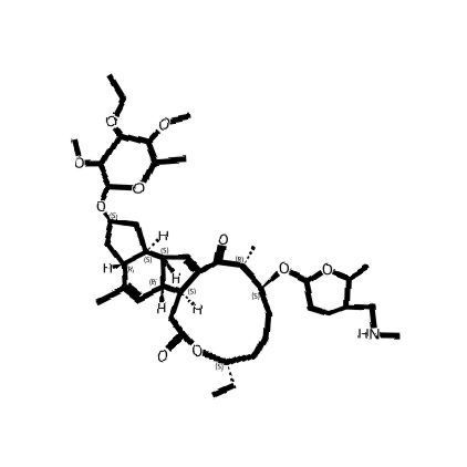 CCOC1C(OC)C(C)OC(O[C@H]2C[C@H]3[C@@H]4C=C5C(=O)[C@H](C)[C@@H](OC6CCC(CNC)C(C)O6)CCC[C@H](CC)OC(=O)C[C@H]5[C@@H]4C=C(C)[C@@H]3C2)C1OC